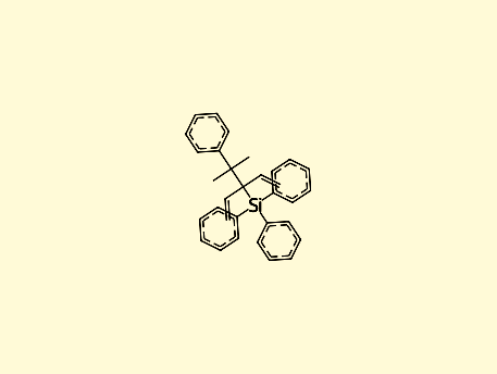 C=CC(C=C)(C(C)(C)c1ccccc1)[Si](c1ccccc1)(c1ccccc1)c1ccccc1